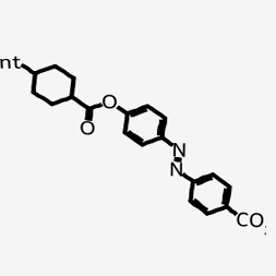 CCCCCC1CCC(C(=O)Oc2ccc(N=Nc3ccc(C(=O)O)cc3)cc2)CC1